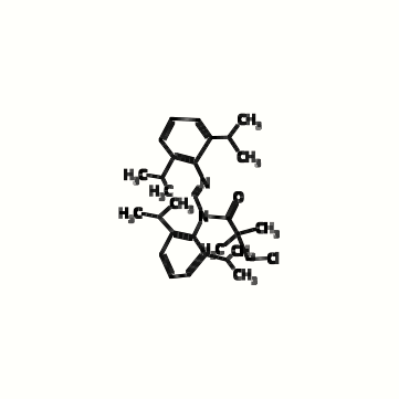 CC(C)c1cccc(C(C)C)c1N=CN(C(=O)C(C)(C)CCl)c1c(C(C)C)cccc1C(C)C